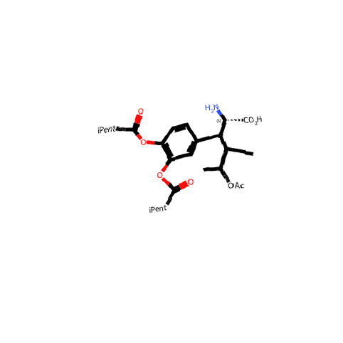 CCCC(C)C(=O)Oc1ccc(C(C(C)C(C)OC(C)=O)[C@H](N)C(=O)O)cc1OC(=O)C(C)CCC